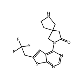 O=C1CC2(CCNC2)CN1c1ncnc2sc(CC(F)(F)F)cc12